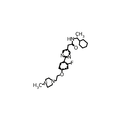 C[C@@H](NC(=O)Cc1cnc(-c2ccc(OCCN3CCN(C)CC3)cc2F)nc1)C1CCCCC1